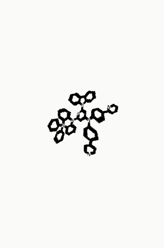 c1ccc([Si]2(c3ccccc3)c3ccccc3N(c3cc(N(c4ccc(-c5ccncc5)cc4)c4ccc(-c5ccccn5)cc4)cc(-n4c5ccccc5c5ccccc54)n3)c3ccccc32)cc1